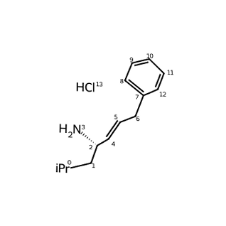 CC(C)C[C@H](N)C=CCc1ccccc1.Cl